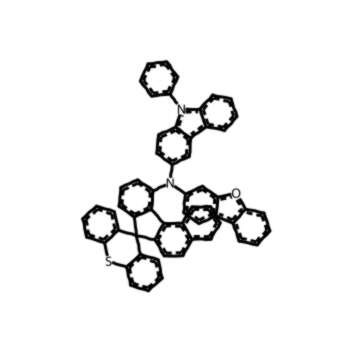 c1ccc(-n2c3ccccc3c3cc(N(c4ccc5c(c4)oc4ccccc45)c4cccc5c4-c4c(ccc6ccccc46)C54c5ccccc5Sc5ccccc54)ccc32)cc1